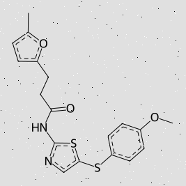 COc1ccc(Sc2cnc(NC(=O)CCc3ccc(C)o3)s2)cc1